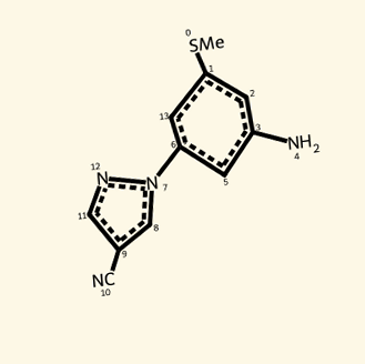 CSc1cc(N)cc(-n2cc(C#N)cn2)c1